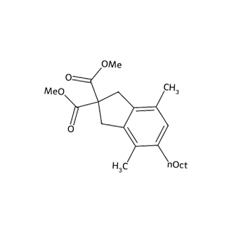 CCCCCCCCc1cc(C)c2c(c1C)CC(C(=O)OC)(C(=O)OC)C2